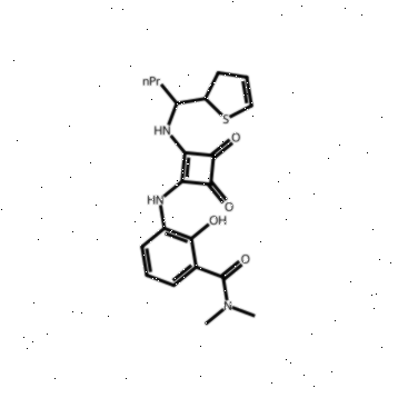 CCCC(Nc1c(Nc2cccc(C(=O)N(C)C)c2O)c(=O)c1=O)C1CC=CS1